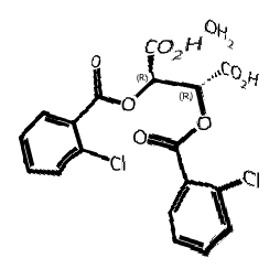 O.O=C(O[C@@H](C(=O)O)[C@@H](OC(=O)c1ccccc1Cl)C(=O)O)c1ccccc1Cl